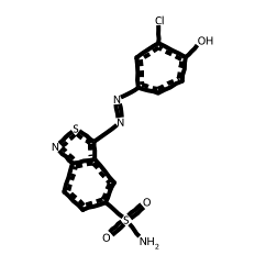 NS(=O)(=O)c1ccc2nsc(/N=N/c3ccc(O)c(Cl)c3)c2c1